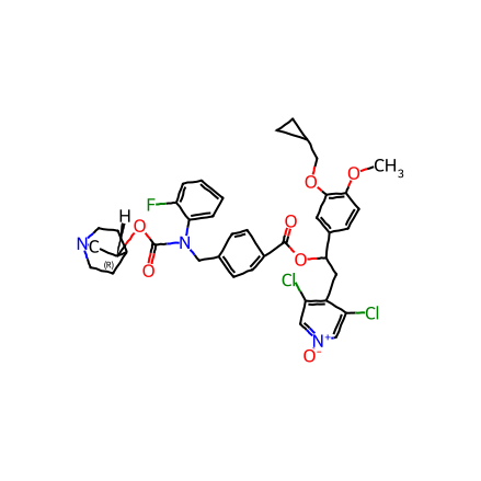 COc1ccc(C(Cc2c(Cl)c[n+]([O-])cc2Cl)OC(=O)c2ccc(CN(C(=O)O[C@H]3CN4CCC3CC4)c3ccccc3F)cc2)cc1OCC1CC1